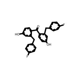 O=C(c1ccc(O)cc1Cc1ccc(F)cc1)c1ccc(O)cc1Cc1ccc(F)cc1